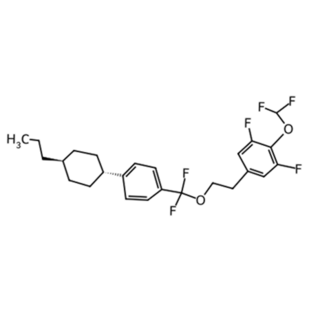 CCC[C@H]1CC[C@H](c2ccc(C(F)(F)OCCc3cc(F)c(OC(F)F)c(F)c3)cc2)CC1